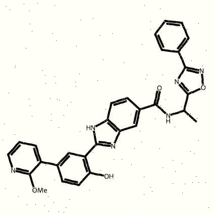 COc1ncccc1-c1ccc(O)c(-c2nc3cc(C(=O)NC(C)c4nc(-c5ccccc5)no4)ccc3[nH]2)c1